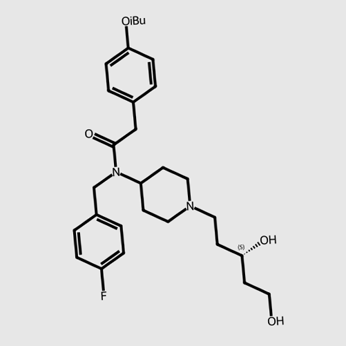 CC(C)COc1ccc(CC(=O)N(Cc2ccc(F)cc2)C2CCN(CC[C@H](O)CCO)CC2)cc1